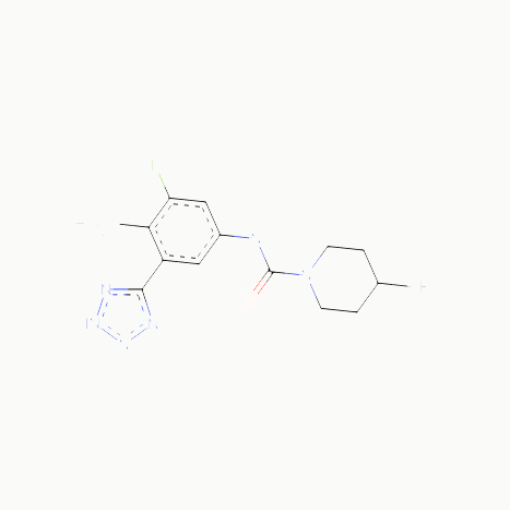 O=C(O)c1c(F)cc(NC(=O)N2CCC(C(F)(F)F)CC2)cc1-c1nn[nH]n1